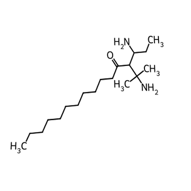 CCCCCCCCCCCC(=O)C(C(N)CC)C(C)(C)N